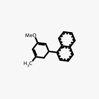 COC1=CC(c2cccc3ccccc23)CC(C)=C1